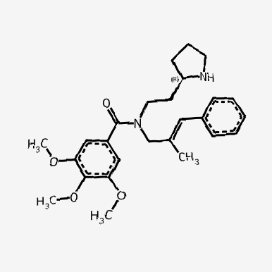 COc1cc(C(=O)N(CC[C@H]2CCCN2)CC(C)=Cc2ccccc2)cc(OC)c1OC